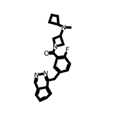 CN(C1CCC1)C1CN(C(=O)c2cc(Cc3nncc4ccccc34)ccc2F)C1